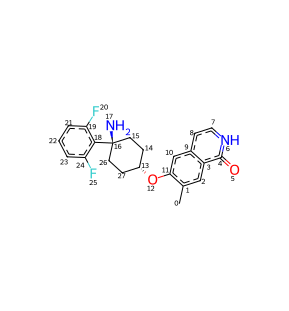 Cc1cc2c(=O)[nH]ccc2cc1O[C@H]1CC[C@@](N)(c2c(F)cccc2F)CC1